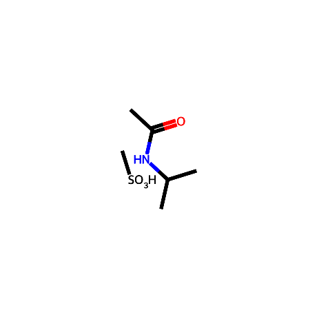 CC(=O)NC(C)C.CS(=O)(=O)O